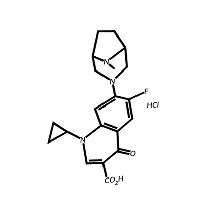 CN1C2CCC1CN(c1cc3c(cc1F)c(=O)c(C(=O)O)cn3C1CC1)C2.Cl